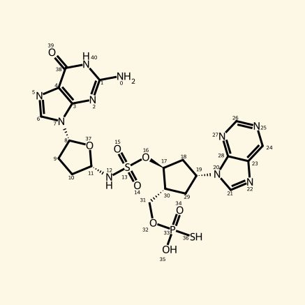 Nc1nc2c(ncn2[C@H]2CC[C@@H](NS(=O)(=O)O[C@H]3C[C@H](n4cnc5cncnc54)C[C@@H]3COP(=O)(O)S)O2)c(=O)[nH]1